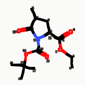 CCOC(=O)[C@@H]1CC(C)C(=O)N1C(=O)OC(C)(C)C